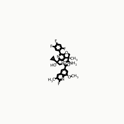 COc1cc(C(=O)NC[C@](O)(c2cc3c(c(-c4cc(F)c(F)cc4F)n2)OC[C@]3(C)C(N)=O)C2CC2)cc2cc(C)c(F)nc12